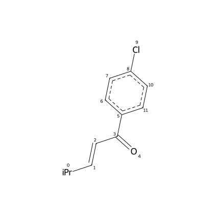 CC(C)C=CC(=O)c1ccc(Cl)cc1